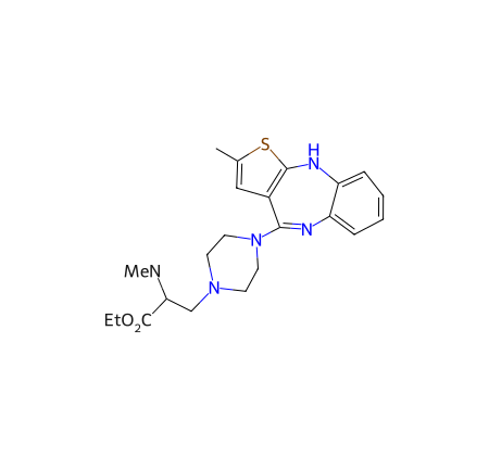 CCOC(=O)C(CN1CCN(C2=Nc3ccccc3Nc3sc(C)cc32)CC1)NC